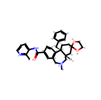 Cc1ncccc1NC(=O)c1ccc2c(c1)CN(C)C[C@H]1CC3(CC[C@@]21Cc1ccccc1)OCCO3